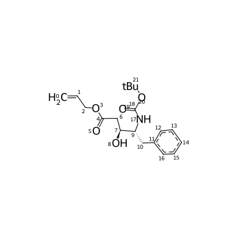 C=CCOC(=O)C[C@H](O)[C@@H](Cc1ccccc1)NC(=O)OC(C)(C)C